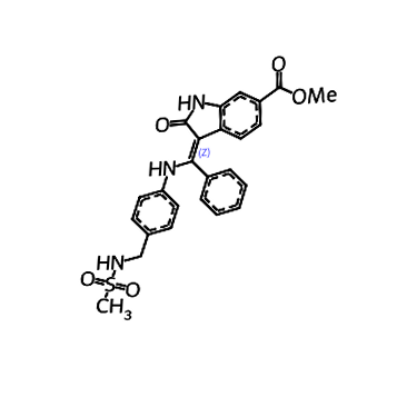 COC(=O)c1ccc2c(c1)NC(=O)/C2=C(\Nc1ccc(CNS(C)(=O)=O)cc1)c1ccccc1